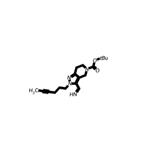 CC#CCCCn1nc2c(c1C=N)CN(C(=O)OC(C)(C)C)CC2